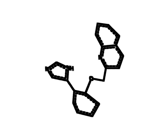 c1ccc(-c2cnc[nH]2)c(OCc2ccc3ccccc3n2)c1